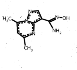 Cc1cc(C)n2ncc(/C(N)=N/O)c2n1